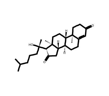 CC(C)CCC[C@](C)(O)[C@H]1C(=O)C[C@H]2[C@@H]3CCC4=CC(=O)CC[C@]4(C)[C@H]3CC[C@@]21C